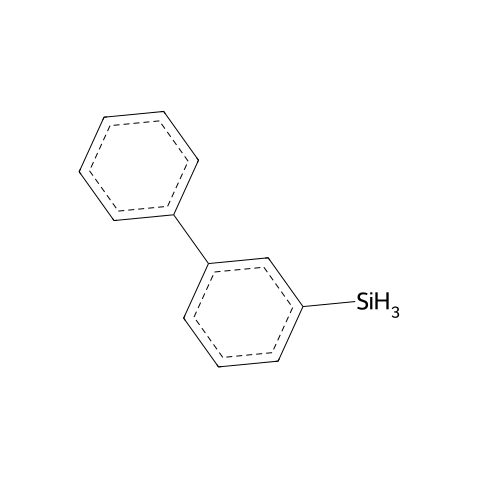 [SiH3]c1cccc(-c2ccccc2)c1